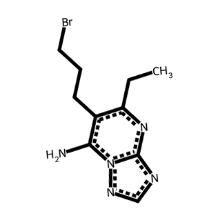 CCc1nc2ncnn2c(N)c1CCCBr